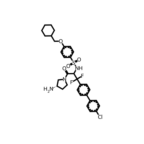 N[C@H]1CCN(C(=O)C(NS(=O)(=O)c2ccc(OCC3CCCCC3)cc2)C(F)(F)c2ccc(-c3ccc(Cl)cc3)cc2)C1